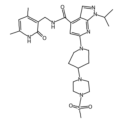 Cc1cc(C)c(CNC(=O)c2cc(N3CCC(N4CCN(S(C)(=O)=O)CC4)CC3)nc3c2cnn3C(C)C)c(=O)[nH]1